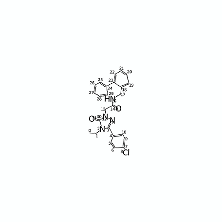 CCn1c(-c2ccc(Cl)cc2)nn(CC(=O)NCc2ccccc2-c2ccccc2)c1=O